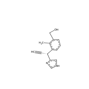 C#C[C@@H](c1c[nH]cn1)c1cccc(CO)c1C